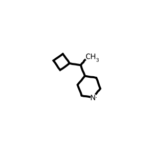 CC(C1CCC1)C1CC[N]CC1